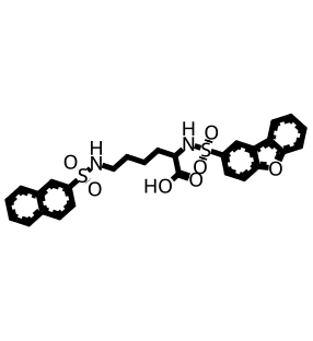 O=C(O)C(CCCCNS(=O)(=O)c1ccc2ccccc2c1)NS(=O)(=O)c1ccc2oc3ccccc3c2c1